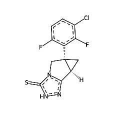 Fc1ccc(Cl)c(F)c1[C@]12C[C@H]1c1n[nH]c(=S)n1C2